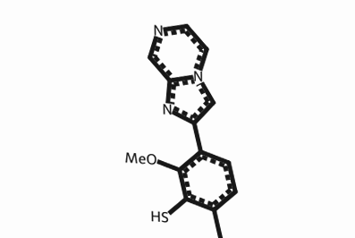 COc1c(-c2cn3ccncc3n2)ccc(C)c1S